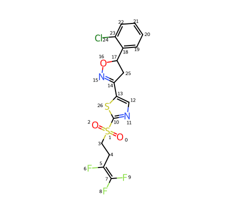 O=S(=O)(CCC(F)=C(F)F)c1ncc(C2=NOC(c3ccccc3Cl)C2)s1